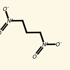 O=[N+]([O-])CCC[N+](=O)[O-]